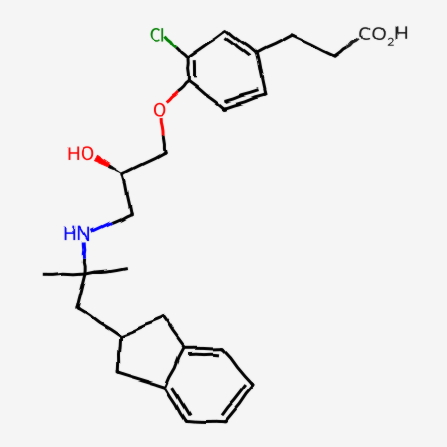 CC(C)(CC1Cc2ccccc2C1)NC[C@@H](O)COc1ccc(CCC(=O)O)cc1Cl